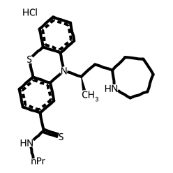 CCCNC(=S)c1ccc2c(c1)N([C@H](C)CC1CCCCCN1)c1ccccc1S2.Cl